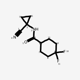 N#CC1(NC(=O)C2CCC(F)(F)CC2)CC1